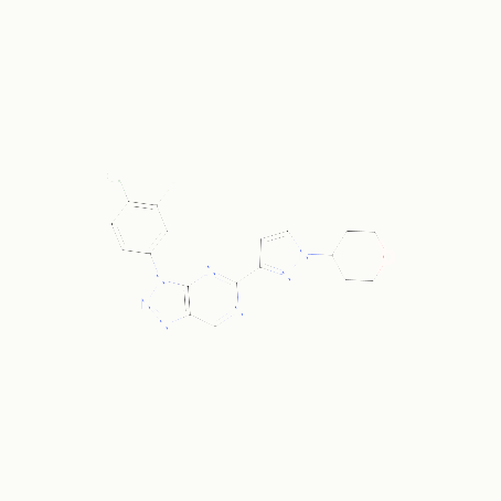 Fc1cc(-n2nnc3cnc(-c4[c]cn(C5CCOCC5)n4)nc32)ccc1Cl